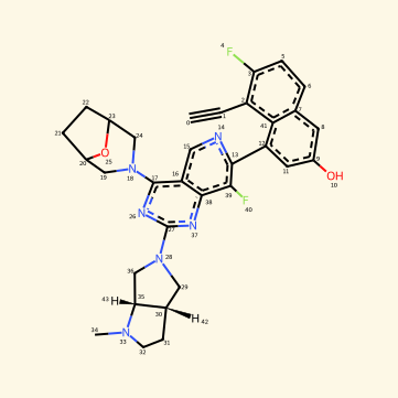 C#Cc1c(F)ccc2cc(O)cc(-c3ncc4c(N5CC6CCC(C5)O6)nc(N5C[C@@H]6CCN(C)[C@@H]6C5)nc4c3F)c12